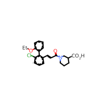 CCOc1ccccc1-c1c(Cl)[c]ccc1/C=C/C(=O)N1CCCC(C(=O)O)C1